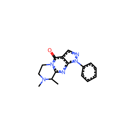 CC1c2nc3c(cnn3-c3ccccc3)c(=O)n2CCN1C